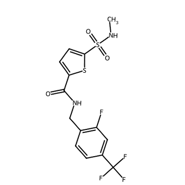 CNS(=O)(=O)c1ccc(C(=O)NCc2ccc(C(F)(F)F)cc2F)s1